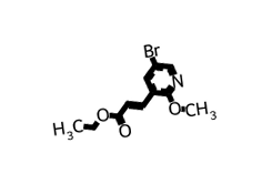 CCOC(=O)C=Cc1cc(Br)cnc1OC